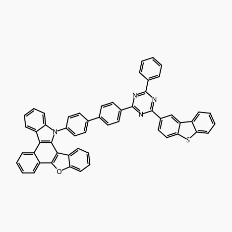 c1ccc(-c2nc(-c3ccc(-c4ccc(-n5c6ccccc6c6c7ccccc7c7oc8ccccc8c7c65)cc4)cc3)nc(-c3ccc4sc5ccccc5c4c3)n2)cc1